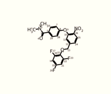 CN(C)C(=O)c1ccc(Oc2cc(COc3c(F)cc(F)cc3F)ccc2[N+](=O)[O-])cc1